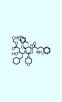 CCOC(=O)C[C@H](O)[C@H](CC1CCCCC1)N(C(=O)[C@H](Cc1c[nH]cn1)NC(=O)[C@@H](N)Cc1ccccc1)C(=O)N1CCOCC1